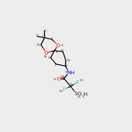 CC1(C)COC2(CCC(NC(=O)C(F)(F)S(=O)(=O)O)CC2)OC1